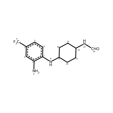 Nc1cc(C(F)(F)F)ccc1NC1CCC(NC=O)CC1